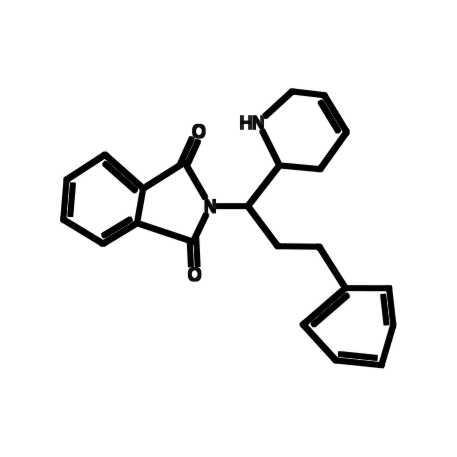 O=C1c2ccccc2C(=O)N1C(CCc1ccccc1)C1CC=CCN1